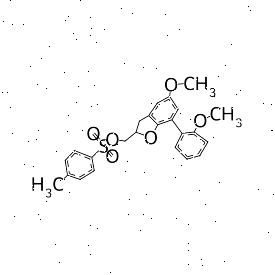 COc1cc2c(c(-c3ccccc3OC)c1)OC(COS(=O)(=O)c1ccc(C)cc1)C2